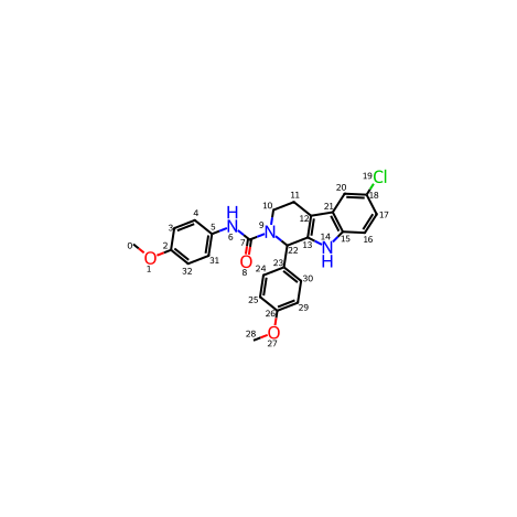 COc1ccc(NC(=O)N2CCc3c([nH]c4ccc(Cl)cc34)C2c2ccc(OC)cc2)cc1